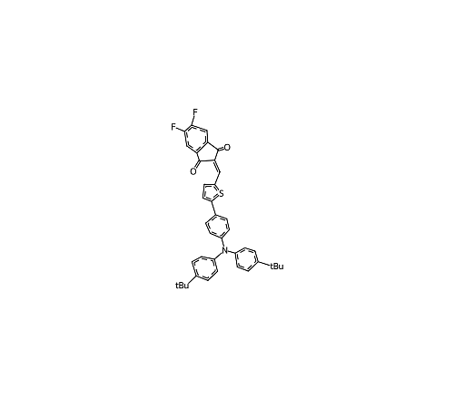 CC(C)(C)c1ccc(N(c2ccc(-c3ccc(C=C4C(=O)c5cc(F)c(F)cc5C4=O)s3)cc2)c2ccc(C(C)(C)C)cc2)cc1